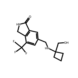 O=C1NCc2c1cc(CNC1(CO)CCC1)cc2C(F)(F)F